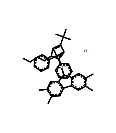 CCCCC1[C]([Zr+2][CH]2c3cc(C)c(C)cc3-c3cc(C)c(C)cc32)=C2C(C(C)(C)C)=C1C2(c1ccccc1)c1ccccc1.[Cl-].[Cl-]